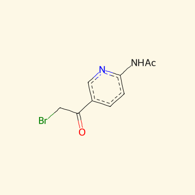 CC(=O)Nc1ccc(C(=O)CBr)cn1